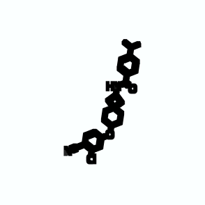 CC(C)c1ccc(C(=O)NC2CC3(CCC(Oc4ccc(C#N)c(Cl)c4)CC3)C2)cc1